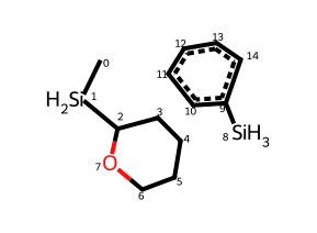 C[SiH2]C1CCCCO1.[SiH3]c1ccccc1